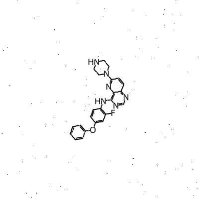 Fc1cc(Oc2ccccc2)ccc1Nc1ncnc2ccc(N3CCNCC3)nc12